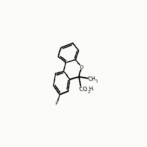 CC1(C(=O)O)Oc2ccccc2-c2ccc(F)cc21